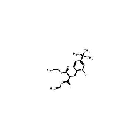 CCOC(=O)C(Cc1ccc(C(C)(C)C)cc1Br)C(=O)OCC